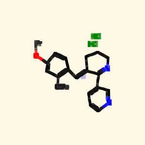 COc1cc(OC(C)C)ccc1/C=C1\CCCN=C1c1cccnc1.Cl.Cl